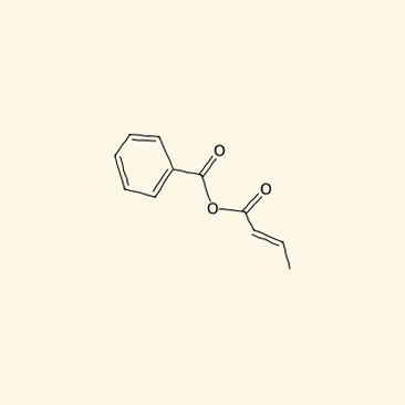 CC=CC(=O)OC(=O)c1ccccc1